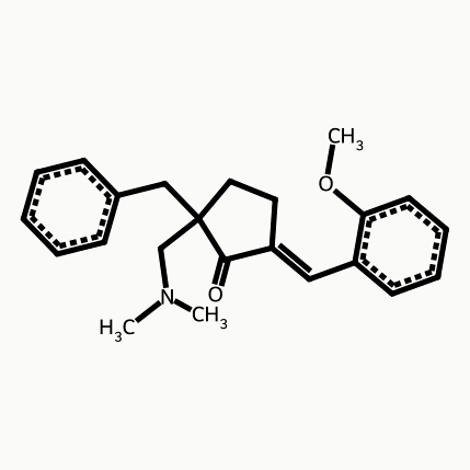 COc1ccccc1/C=C1\CCC(Cc2ccccc2)(CN(C)C)C1=O